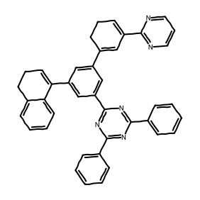 C1=C(c2cc(C3=CCCc4ccccc43)cc(-c3nc(-c4ccccc4)nc(-c4ccccc4)n3)c2)CCC=C1c1ncccn1